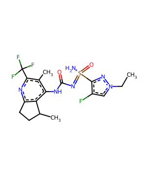 CCn1cc(F)c([S@](N)(=O)=NC(=O)Nc2c(C)c(C(F)(F)F)nc3c2C(C)CC3)n1